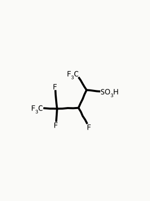 O=S(=O)(O)C(C(F)C(F)(F)C(F)(F)F)C(F)(F)F